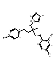 CC(CCc1ccc(Cl)cc1)(Cn1ccnc1)SCc1ccc(Cl)cc1Cl